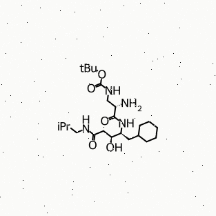 CC(C)CNC(=O)C[C@H](O)[C@H](CC1CCCCC1)NC(=O)[C@@H](N)CNC(=O)OC(C)(C)C